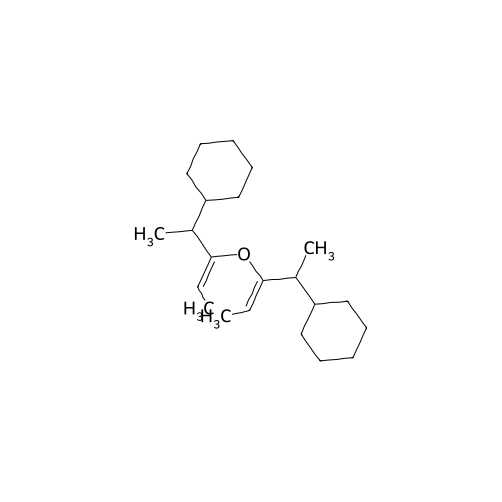 C/C=C(\O/C(=C\C)C(C)C1CCCCC1)C(C)C1CCCCC1